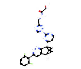 CC1(C)[C@H]2CC[C@@]1(c1ccnc(-n3cnc(CNC(=O)CO)n3)n1)c1nnc(-c3c(F)cccc3F)cc12